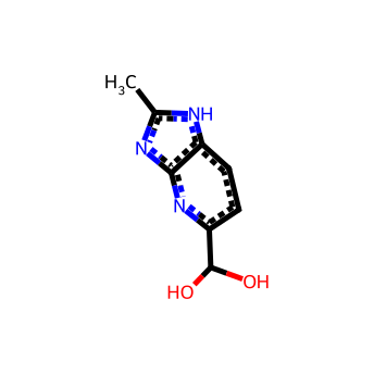 Cc1nc2nc(C(O)O)ccc2[nH]1